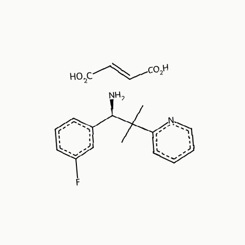 CC(C)(c1ccccn1)[C@H](N)c1cccc(F)c1.O=C(O)C=CC(=O)O